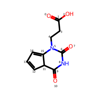 O=C(O)CCN1C(=O)NC(=O)C2C=CC=C21